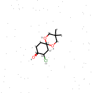 CC1(C)COC2(CCC(=O)C(Cl)C2)OC1